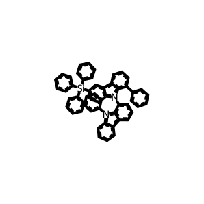 c1ccc(-c2cccc3c4cc([Si](c5ccccc5)(c5ccccc5)c5ccccc5)ccc4n(-c4cccc5c6ccccc6n(-c6ccccc6)c45)c23)cc1